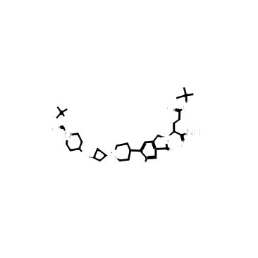 CC(C)(C)OC(=O)CCC(C(N)=O)N1Cc2cc(C3CCN([C@H]4C[C@H](OC5CCN(C(=O)OC(C)(C)C)CC5)C4)CC3)c(F)cc2C1=O